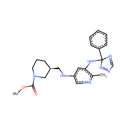 Cc1ncc(NC[C@@H]2CCCN(C(=O)OC(C)(C)C)C2)cc1NC1(c2ccccc2)N=CN=N1